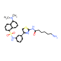 CN(C)c1cccc2c(S(=O)(=O)Nc3cccc(-c4csc(NC(=O)CCCCCN)n4)c3)cccc12